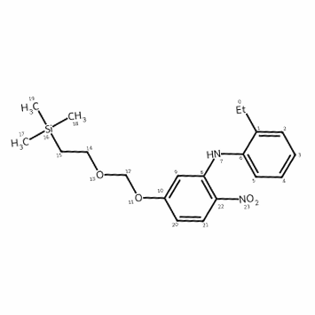 CCc1ccccc1Nc1cc(OCOCC[Si](C)(C)C)ccc1[N+](=O)[O-]